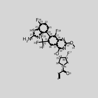 C=CC(=O)N1C[C@@H](F)[C@@H](Oc2nc(OC)nc3c(F)c(-c4ccc(F)c5sc(N)nc45)c(C(F)(F)F)cc23)C1